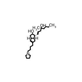 CCCC[C@](C)(O)C/C=C/[C@@H]1[C@H]2CC(CCCCN3CCCC3)=C[C@H]2C[C@H]1O